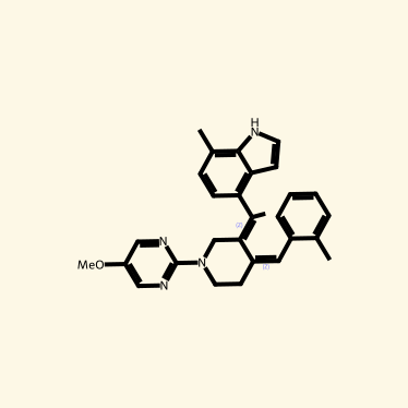 COc1cnc(N2CCC(=C/c3ccccc3C)/C(=C(\C)c3ccc(C)c4[nH]ccc34)C2)nc1